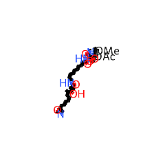 COC(C)C(COC(C)=O)N(C)C(=O)C1(NC(=O)/C=C/C=C/C=C/C=C\CNC(=O)C(C)(C)C(O)\C(C)=C/C=C\C=C\Cc2cnco2)COCO1